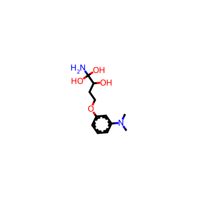 CN(C)c1cccc(OCCC(O)C(N)(O)O)c1